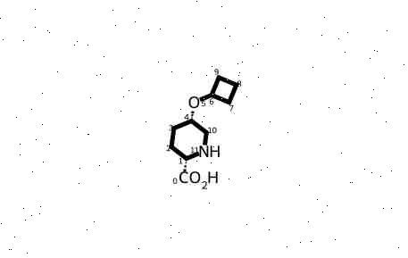 O=C(O)[C@@H]1CC[C@H](OC2CCC2)CN1